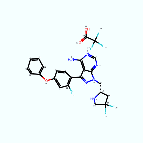 Nc1ncnc2c1c(-c1ccc(Oc3ccccc3)cc1F)nn2C[C@@H]1CC(F)(F)CN1.O=C(O)C(F)(F)F